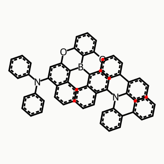 c1ccc(-c2ccccc2N(c2ccccc2-c2ccccc2)c2cc3c(c4ccccc24)B2c4c(cccc4O3)Oc3cc(N(c4ccccc4)c4ccccc4)c4ccccc4c32)cc1